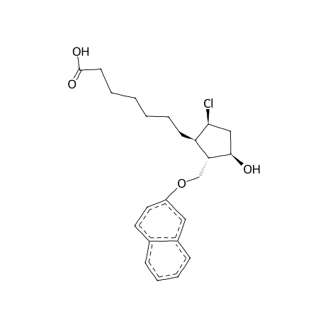 O=C(O)CCCCCC[C@@H]1[C@@H](COc2ccc3ccccc3c2)[C@H](O)C[C@@H]1Cl